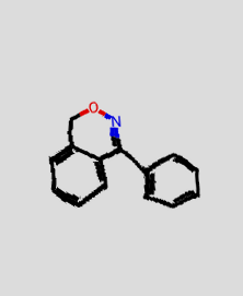 c1ccc(C2=NOCc3ccccc32)cc1